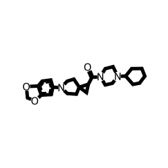 O=C(C1CC12CCN(c1ccc3c(c1)OCO3)CC2)N1CCN(C2CCCCC2)CC1